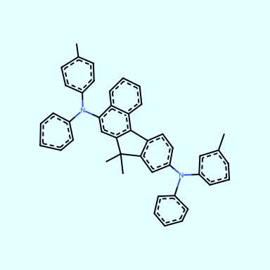 Cc1ccc(N(c2ccccc2)c2cc3c(c4ccccc24)-c2ccc(N(c4ccccc4)c4cccc(C)c4)cc2C3(C)C)cc1